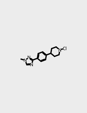 Cn1cnc(-c2ccc(C3CCN(Cl)CC3)cc2)n1